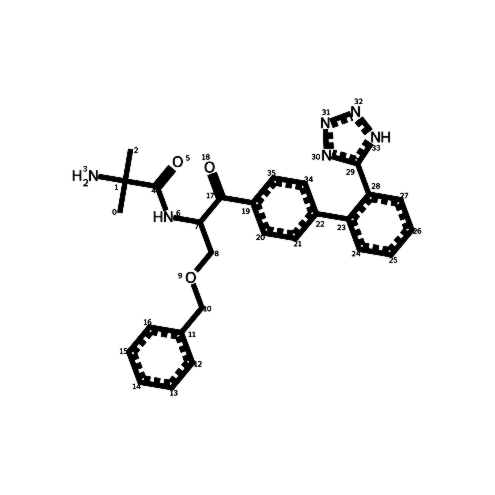 CC(C)(N)C(=O)NC(COCc1ccccc1)C(=O)c1ccc(-c2ccccc2-c2nnn[nH]2)cc1